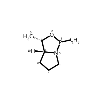 C[C@@H]1OP(C)N2CCC[C@H]12